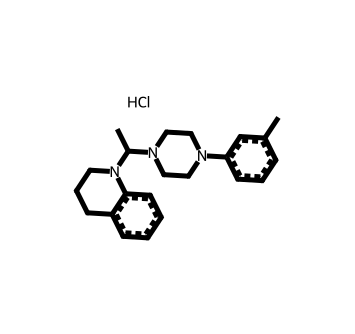 Cc1cccc(N2CCN(C(C)N3CCCc4ccccc43)CC2)c1.Cl